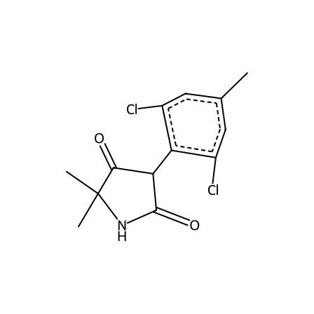 Cc1cc(Cl)c(C2C(=O)NC(C)(C)C2=O)c(Cl)c1